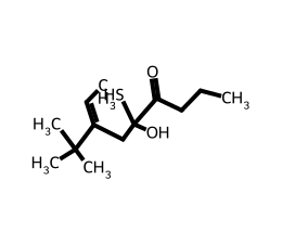 C/C=C(\CC(O)(S)C(=O)CCC)C(C)(C)C